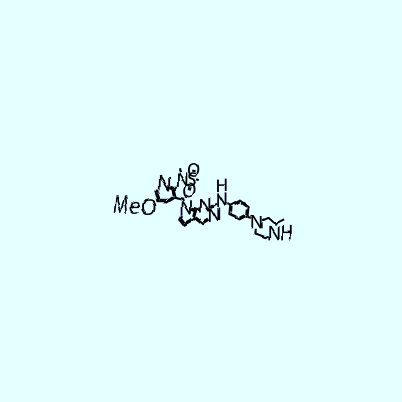 COc1cnc(N(C)S(C)(=O)=O)c(Cn2ccc3cnc(Nc4ccc(N5CCNC(C)C5)cc4)nc32)c1